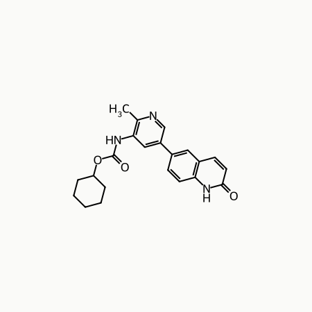 Cc1ncc(-c2ccc3[nH]c(=O)ccc3c2)cc1NC(=O)OC1CCCCC1